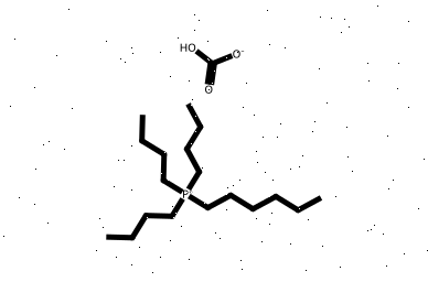 CCCCCC[P+](CCCC)(CCCC)CCCC.O=C([O-])O